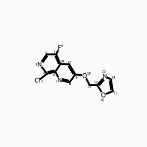 Fc1cnc(Cl)c2ncc(OCc3ncco3)cc12